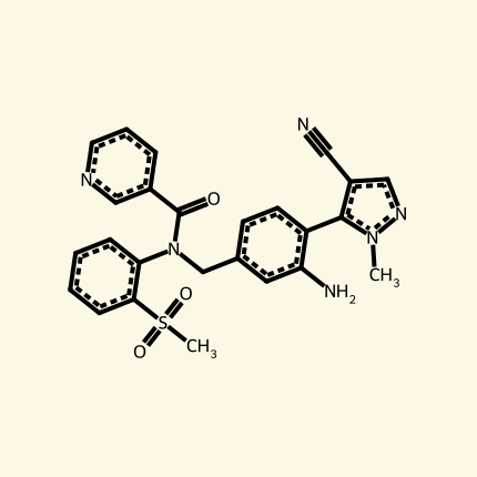 Cn1ncc(C#N)c1-c1ccc(CN(C(=O)c2cccnc2)c2ccccc2S(C)(=O)=O)cc1N